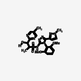 CCOC(c1ncc(C)cn1)C(C)S(=O)(=O)Nc1nnc(-c2ccn(C)n2)n1-c1c(OC)cccc1OC